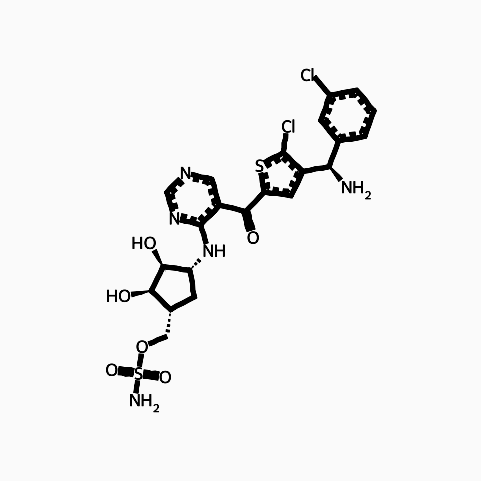 N[C@H](c1cccc(Cl)c1)c1cc(C(=O)c2cncnc2N[C@@H]2C[C@H](COS(N)(=O)=O)[C@@H](O)[C@H]2O)sc1Cl